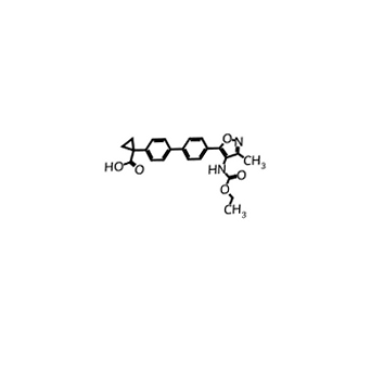 CCOC(=O)Nc1c(C)noc1-c1ccc(-c2ccc(C3(C(=O)O)CC3)cc2)cc1